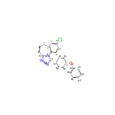 Clc1ccc2c(c1)CCCc1nnc([C@H]3CC[C@@H](Oc4ccccc4)CC3)n1-2